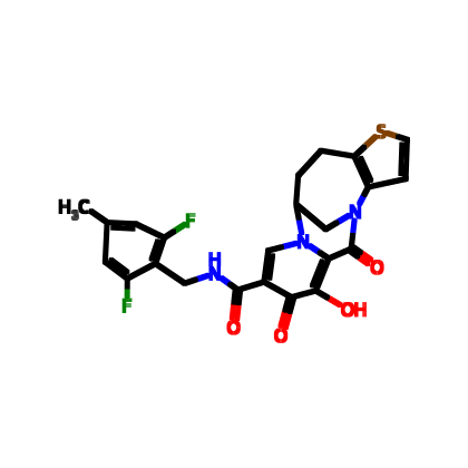 Cc1cc(F)c(CNC(=O)c2cn3c(c(O)c2=O)C(=O)N2CC3CCc3sccc32)c(F)c1